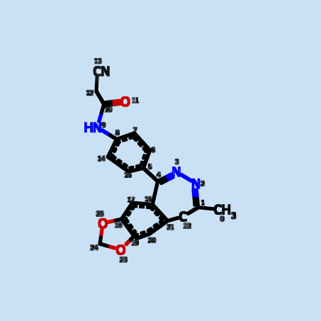 CC1=NN=C(c2ccc(NC(=O)CC#N)cc2)c2cc3c(cc2C1)OCO3